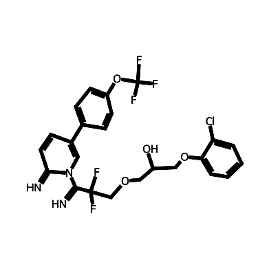 N=C(n1cc(-c2ccc(OC(F)(F)F)cc2)ccc1=N)C(F)(F)COCC(O)COc1ccccc1Cl